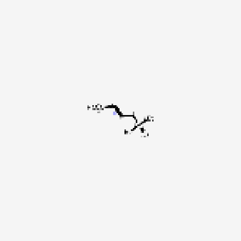 CCP(=O)(CC)C/C=C/C(=O)O